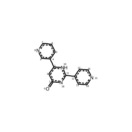 O=c1cc(-c2cccnc2)[nH]c(-c2ccncc2)n1